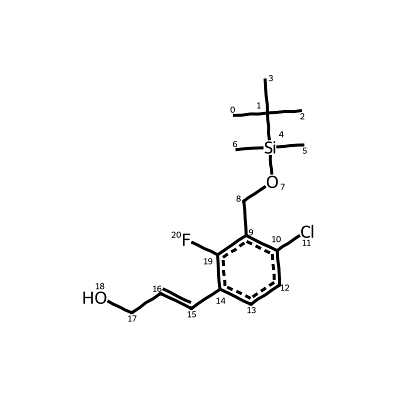 CC(C)(C)[Si](C)(C)OCc1c(Cl)ccc(C=CCO)c1F